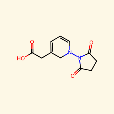 O=C(O)CC1=CC=CN(N2C(=O)CCC2=O)C1